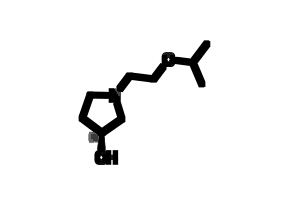 CC(C)OCCN1CC[C@H](O)C1